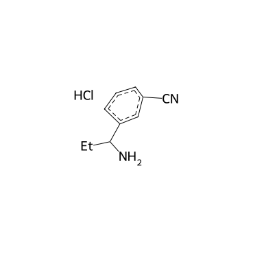 CCC(N)c1cccc(C#N)c1.Cl